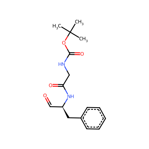 CC(C)(C)OC(=O)NCC(=O)N[C@H](C=O)Cc1ccccc1